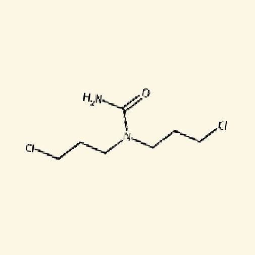 NC(=O)N(CCCCl)CCCCl